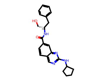 O=C(N[C@H](CO)Cc1ccccc1)c1ccc2cnc(NC3CCCC3)nc2c1